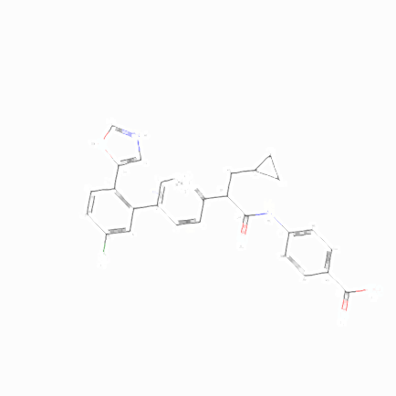 C=C(/C=C\C(=C/C)c1cc(Cl)ccc1-c1cnco1)C(CC1CC1)C(=O)Nc1ccc(C(=O)O)cc1